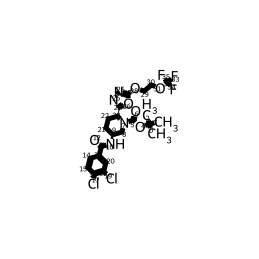 CC(C)(C)OC(=O)N1C[C@@H](NC(=O)c2ccc(Cl)c(Cl)c2)CC[C@@H]1c1nnc(OCCOC(F)(F)F)o1